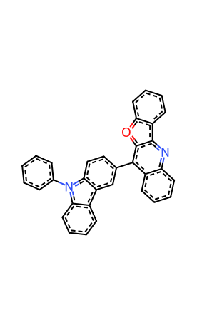 c1ccc(-n2c3ccccc3c3cc(-c4c5ccccc5nc5c4oc4ccccc45)ccc32)cc1